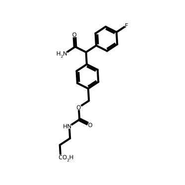 NC(=O)C(c1ccc(F)cc1)c1ccc(COC(=O)NCCC(=O)O)cc1